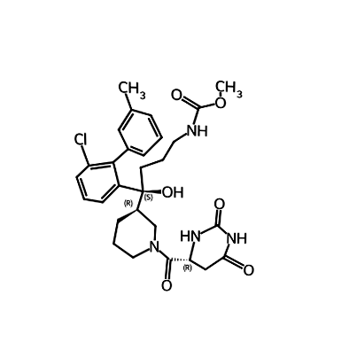 COC(=O)NCCC[C@@](O)(c1cccc(Cl)c1-c1cccc(C)c1)[C@@H]1CCCN(C(=O)[C@H]2CC(=O)NC(=O)N2)C1